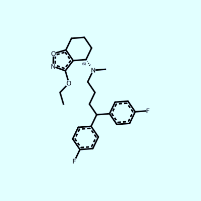 CCOc1noc2c1[C@@H](N(C)CCCC(c1ccc(F)cc1)c1ccc(F)cc1)CCC2